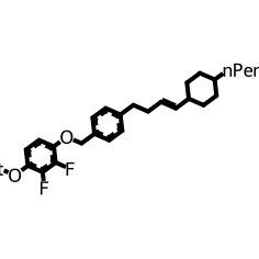 CCCCCC1CCC(/C=C/CCc2ccc(COc3ccc(OCC)c(F)c3F)cc2)CC1